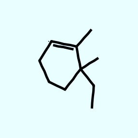 CCC1(C)CCC[C]=C1C